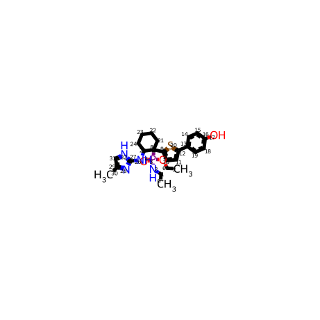 CCNP(=O)(OCC)C1(c2ccc(-c3ccc(O)cc3)s2)CCCCC1Nc1nc(C)c[nH]1